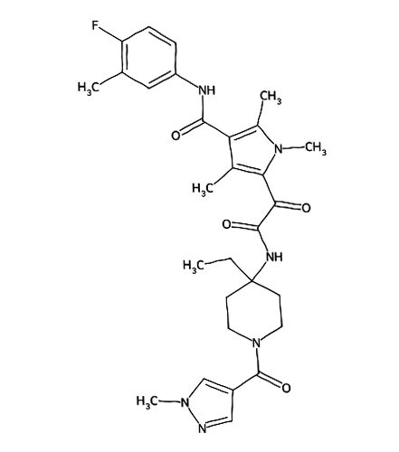 CCC1(NC(=O)C(=O)c2c(C)c(C(=O)Nc3ccc(F)c(C)c3)c(C)n2C)CCN(C(=O)c2cnn(C)c2)CC1